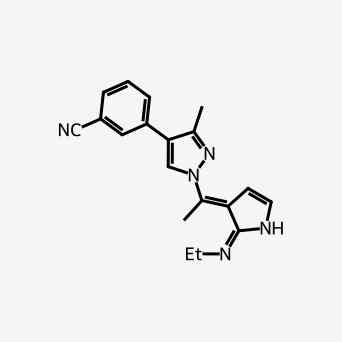 CC/N=C1/NC=C/C1=C(/C)n1cc(-c2cccc(C#N)c2)c(C)n1